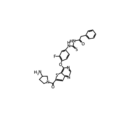 NC1CCN(C(=O)c2cc3ncnc(Oc4ccc(NC(=S)NC(=O)Cc5ccccc5)cc4F)c3s2)C1